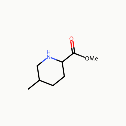 COC(=O)C1CCC(C)CN1